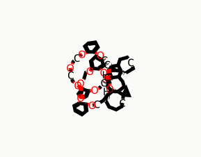 c1ccc2c(c1)OCCOCCOc1ccccc1OCCC1(OCCO2)[C@H]2CC[C@@H]3C(CCC2[C@@]24CCCCCC2[C@@]12CC42)C1(CCCCC[C@]32CCOc3ccccc3OCCOCCOc3ccccc3OCCO2)CC1